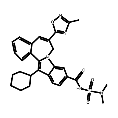 Cc1noc(C2=Cc3ccccc3-c3c(C4CCCCC4)c4ccc(C(=O)NS(=O)(=O)N(C)C)cc4n3C2)n1